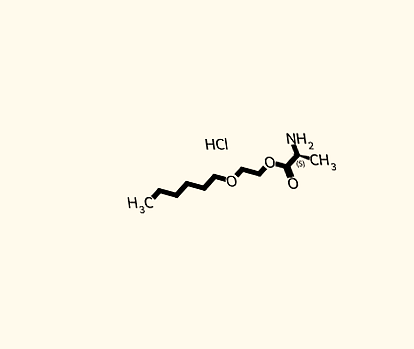 CCCCCCOCCOC(=O)[C@H](C)N.Cl